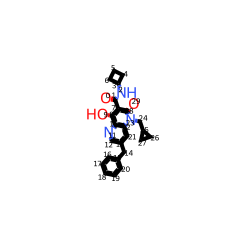 O=C(NC1CCC1)c1c(O)c2ncc(Cc3ccccc3)cc2n(CC2CC2)c1=O